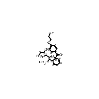 CC(C)CCOc1ccc(C(=O)C2(OCCC(C)C)C=CC=CC2CC(=O)O)cc1OCCC(C)C